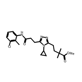 COC(=O)C(C)(C)CCc1nnc(CCC(=O)Nc2cccc(Cl)c2C)n1C1CC1